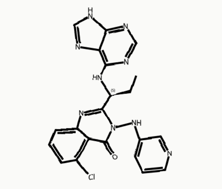 CC[C@H](Nc1ncnc2[nH]cnc12)c1nc2cccc(Cl)c2c(=O)n1Nc1cccnc1